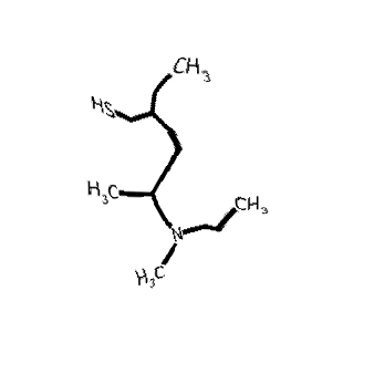 CCN(C)C(C)CC(C)S